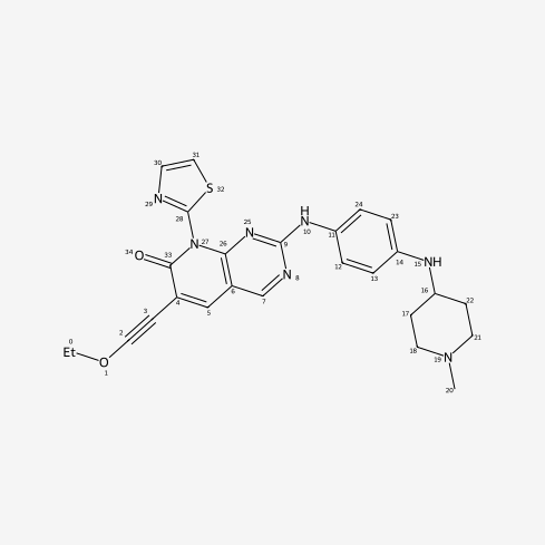 CCOC#Cc1cc2cnc(Nc3ccc(NC4CCN(C)CC4)cc3)nc2n(-c2nccs2)c1=O